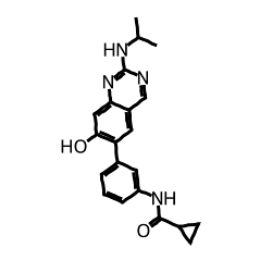 CC(C)Nc1ncc2cc(-c3cccc(NC(=O)C4CC4)c3)c(O)cc2n1